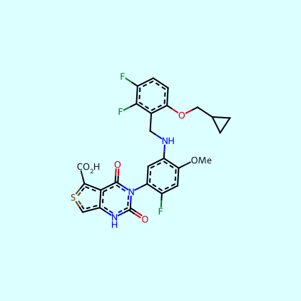 COc1cc(F)c(-n2c(=O)[nH]c3csc(C(=O)O)c3c2=O)cc1NCc1c(OCC2CC2)ccc(F)c1F